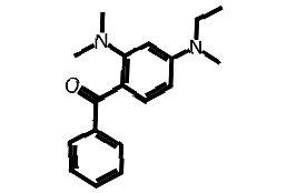 CCN(C)c1ccc(C(=O)c2ccccc2)c(N(C)C)c1